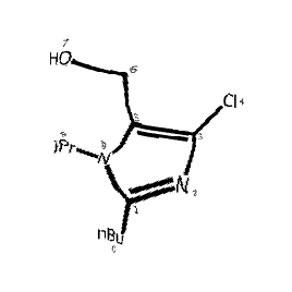 CCCCc1nc(Cl)c(CO)n1C(C)C